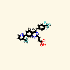 O=C(O)CCc1nc([AsH]c2ccc(C(F)(F)F)cc2)c2ccc(-c3ncccc3C(F)(F)F)cc2n1